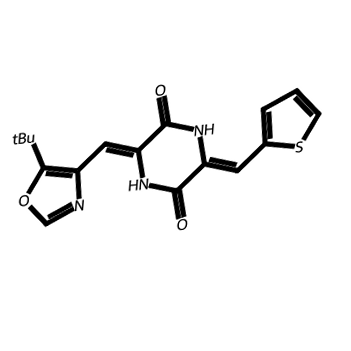 CC(C)(C)c1ocnc1/C=c1\[nH]c(=O)/c(=C/c2cccs2)[nH]c1=O